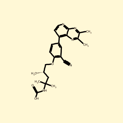 Cc1nc2nccc(-c3ccc(OC[C@@H](C)CC(C)(C)NC(=O)O)c(C#N)c3)c2nc1C